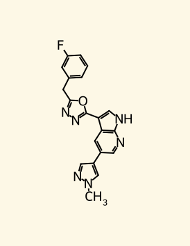 Cn1cc(-c2cnc3[nH]cc(-c4nnc(Cc5cccc(F)c5)o4)c3c2)cn1